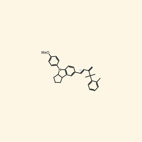 C=C(/C=C/c1ccc2c(c1)C1CCCC1N2c1ccc(OC)cc1)C(C)(C)c1ccccc1C